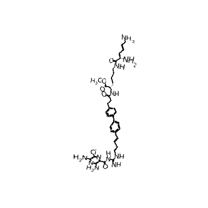 COC(=O)[C@H](CCCCNC(=O)[C@@H](N)CCCCN)NC(=O)CCc1ccc(-c2ccc(CCCCNC(=N)NC(=O)c3nc(Cl)c(N)nc3N)cc2)cc1